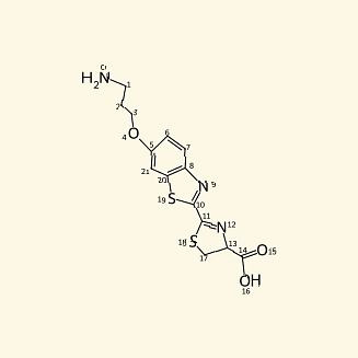 NCCCOc1ccc2nc(C3=NC(C(=O)O)CS3)sc2c1